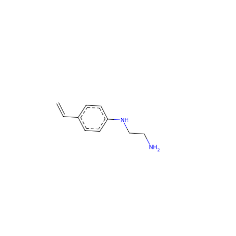 C=Cc1ccc(NCCN)cc1